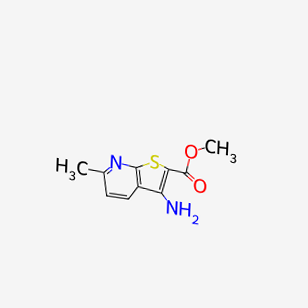 COC(=O)c1sc2nc(C)ccc2c1N